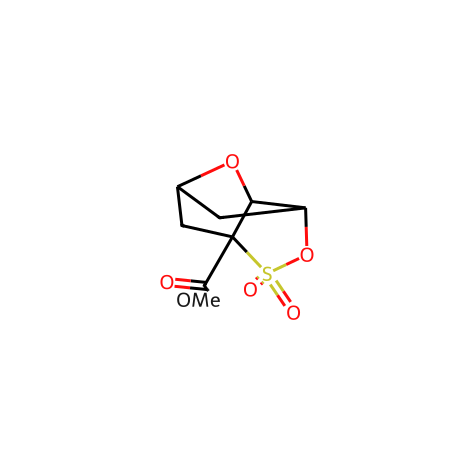 COC(=O)C12CC3CC(OS1(=O)=O)C2O3